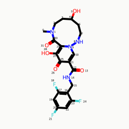 CN1CCC(O)CCNn2cc(C(=O)NCc3c(F)cc(F)cc3F)c(=O)c(O)c2C1=O